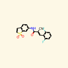 N#C/C(=C\c1c(F)cccc1F)C(=O)Nc1ccc2c(c1)S(=O)(=O)C=C2